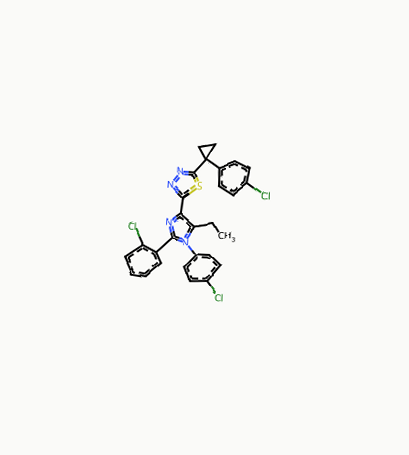 CCc1c(-c2nnc(C3(c4ccc(Cl)cc4)CC3)s2)nc(-c2ccccc2Cl)n1-c1ccc(Cl)cc1